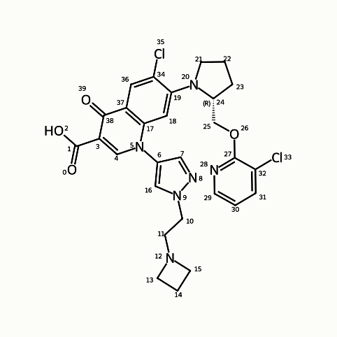 O=C(O)c1cn(-c2cnn(CCN3CCC3)c2)c2cc(N3CCC[C@@H]3COc3ncccc3Cl)c(Cl)cc2c1=O